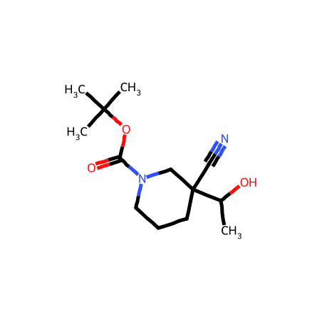 CC(O)C1(C#N)CCCN(C(=O)OC(C)(C)C)C1